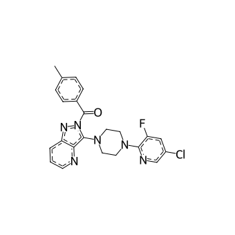 Cc1ccc(C(=O)n2nc3cccnc3c2N2CCN(c3ncc(Cl)cc3F)CC2)cc1